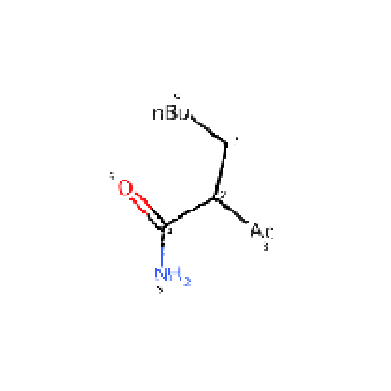 CCCCCC(C(C)=O)C(N)=O